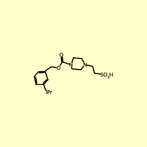 CC(C)c1cccc(COC(=O)N2CCN(CCS(=O)(=O)O)CC2)c1